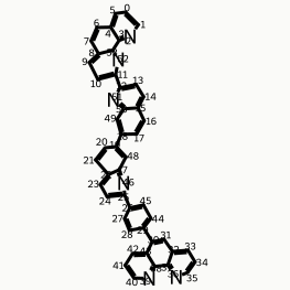 c1cnc2c(c1)ccc1ccc(-c3ccc4ccc(-c5ccc6ccc(-c7ccc(-c8cc9cccnc9c9ncccc89)cc7)nc6c5)cc4n3)nc12